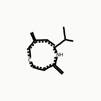 C=c1ccccc(=C)[nH]c(C(C)C)c1